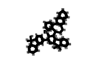 CCC1C(c2ccc3c(c2)-c2ccccc2C3(C)C)=NC2=C(c3ccccc3C2(C)C)C1C1CCc2cc3ccccc3cc2-c2ccccc21